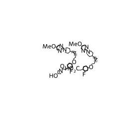 COc1cnc(N2CCC([C@H]3C[C@H]3CCOc3ccc(CC(=O)N4CC(O)C4)c(F)c3)CC2)nc1.COc1cnc(N2CCC([C@H]3C[C@H]3CCOc3ccc(CC(=O)O)c(F)c3)CC2)nc1